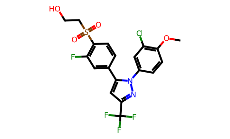 COc1ccc(-n2nc(C(F)(F)F)cc2-c2ccc(S(=O)(=O)CCO)c(F)c2)cc1Cl